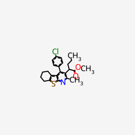 CCCC(C(=O)OC)c1c(C)nc2sc3c(c2c1-c1ccc(Cl)cc1)CCCC3